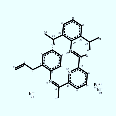 C=CCc1ccccc1N=C(C)c1cccc(C(C)=Nc2c(C(C)C)cccc2C(C)C)n1.[Br-].[Br-].[Fe+2]